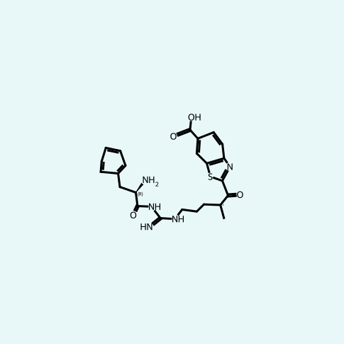 C[C](CCCNC(=N)NC(=O)[C@H](N)Cc1ccccc1)C(=O)c1nc2ccc(C(=O)O)cc2s1